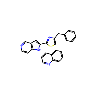 c1ccc(Cc2csc(-c3cc4cnccc4[nH]3)n2)cc1.c1ccc2ncccc2c1